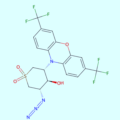 [N-]=[N+]=N[C@@H]1CS(=O)(=O)C[C@H](N2c3ccc(C(F)(F)F)cc3Oc3cc(C(F)(F)F)ccc32)[C@H]1O